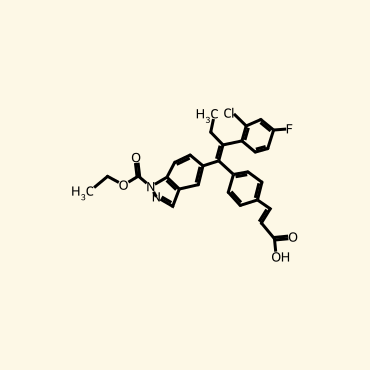 CCOC(=O)n1ncc2cc(C(=C(CC)c3ccc(F)cc3Cl)c3ccc(C=CC(=O)O)cc3)ccc21